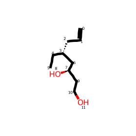 C=CC[C@@H](CC)C[C@H](O)CCO